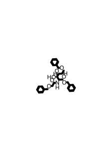 O=C(COCc1ccccc1)N[C@H]1[C@@H](OCc2ccccc2)O[C@@H]2COC(c3ccccc3)O[C@H]2[C@@H]1O